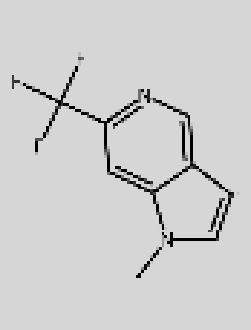 Cn1c[c]c2cnc(C(F)(F)F)cc21